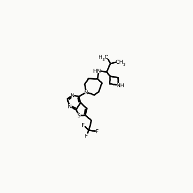 CC(C)C(NC1CCCN(c2ncnc3sc(CC(F)(F)F)cc23)CC1)C1CNC1